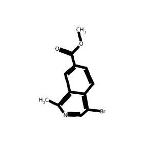 COC(=O)c1ccc2c(Br)cnc(C)c2c1